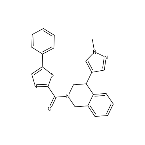 Cn1cc(C2CN(C(=O)c3ncc(-c4ccccc4)s3)Cc3ccccc32)cn1